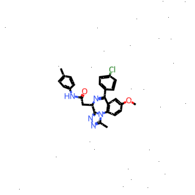 COc1ccc2c(c1)C(c1ccc(Cl)cc1)=NC(CC(=O)Nc1ccc(C)cc1)c1nnc(C)n1-2